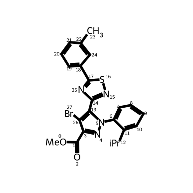 COC(=O)c1nn(-c2ccccc2C(C)C)c(-c2nsc(-c3cccc(C)c3)n2)c1Br